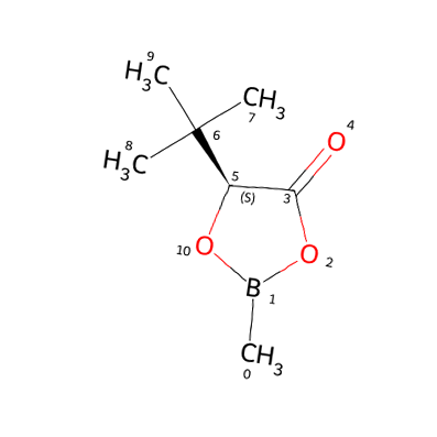 CB1OC(=O)[C@H](C(C)(C)C)O1